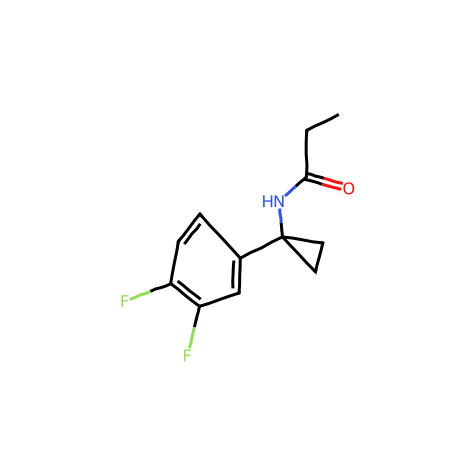 CCC(=O)NC1(c2ccc(F)c(F)c2)CC1